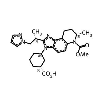 COC(=O)N1c2ccc3c(nc([C@@H](C)Cn4cccn4)n3[C@@H]3CCC[C@@H](C(=O)O)C3)c2CC[C@@H]1C